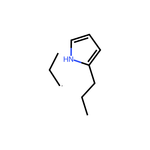 CCCc1ccc[nH]1.[CH2]CC